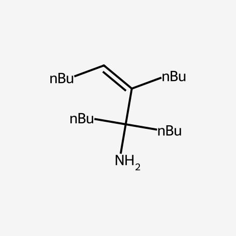 CCCCC=C(CCCC)C(N)(CCCC)CCCC